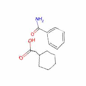 NC(=O)c1ccccc1.O=C(O)C1CCCCC1